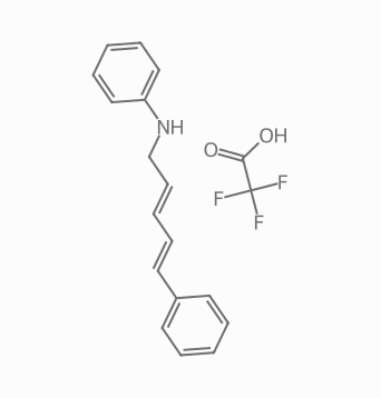 C(C=Cc1ccccc1)=CCNc1ccccc1.O=C(O)C(F)(F)F